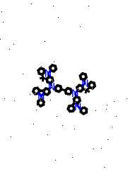 CC1(C)c2ccccc2N(c2ccccc2)c2ccc(N(c3ccc(-c4ccc(N(c5ccc6c(c5)C(C)(C)c5ccccc5N6c5ccccc5)c5ccc6c(c5)c5ccccc5n6-c5ccccc5)cc4)cc3)c3ccc4c(c3)c3ccccc3n4-c3ccccc3)cc21